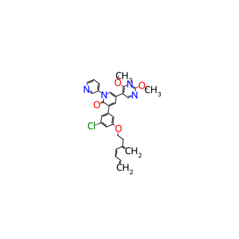 C=C/C=C\C(=C)CCOc1cc(Cl)cc(-c2cc(-c3cnc(OC)nc3OC)cn(-c3cccnc3)c2=O)c1